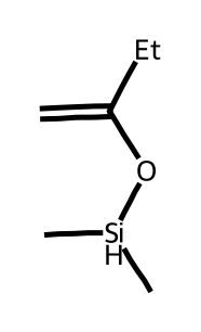 C=C(CC)O[SiH](C)C